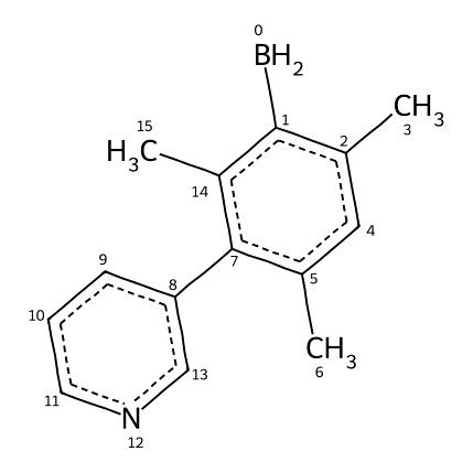 Bc1c(C)cc(C)c(-c2cccnc2)c1C